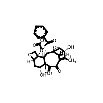 CC(=O)O[C@@]12CO[C@@H]1C[C@@H](O)[C@@]1(C)C(=O)C(=O)C3=C(C)[C@@H](O)C[C@](O)([C@@H]3C)[C@@H](OC(=O)c3ccccc3)[C@H]21